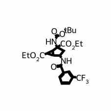 CCOC(=O)C1C2C(NC(=O)c3cccc(C(F)(F)F)c3)CC(NC(=O)OC(C)(C)C)(C(=O)OCC)C12